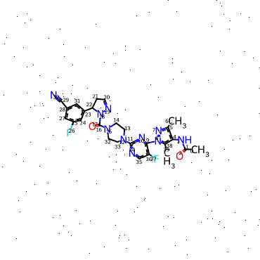 CC(=O)Nc1c(C)nn(-c2nc(N3CCN(C(=O)N4N=CCC4c4cc(F)cc(C#N)c4)CC3)ncc2F)c1C